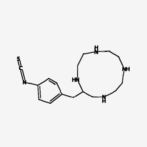 S=C=Nc1ccc(CC2CNCCNCCNCCN2)cc1